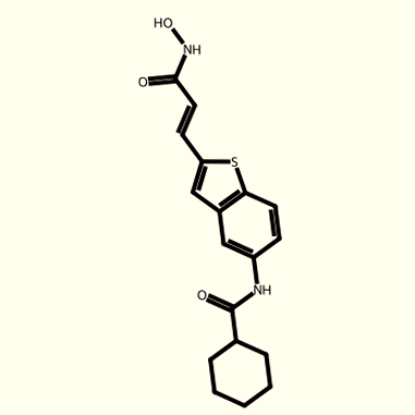 O=C(C=Cc1cc2cc(NC(=O)C3CCCCC3)ccc2s1)NO